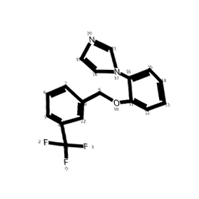 FC(F)(F)c1cccc(COc2ccccc2-n2ccnc2)c1